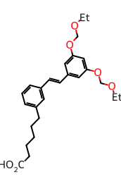 CCOCOc1cc(C=Cc2cccc(CCCCCC(=O)O)c2)cc(OCOCC)c1